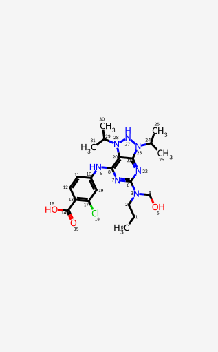 CCCN(CO)c1nc(Nc2ccc(C(=O)O)c(Cl)c2)c2c(n1)N(C(C)C)NN2C(C)C